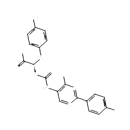 O=C(Nc1cnc(-c2ccc(Cl)cc2)nc1O)N[C@H](Nc1ccc(O)cc1)C(=O)O